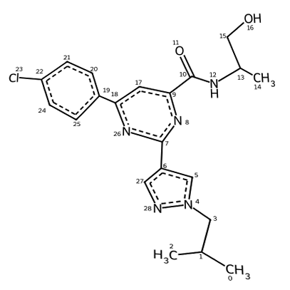 CC(C)Cn1cc(-c2nc(C(=O)NC(C)CO)cc(-c3ccc(Cl)cc3)n2)cn1